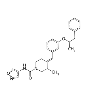 CC(Cc1ccccc1)Oc1cccc(C=C2CCN(C(=O)Nc3cnoc3)CC2C)c1